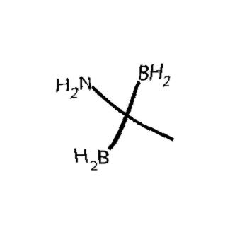 BC(B)(C)N